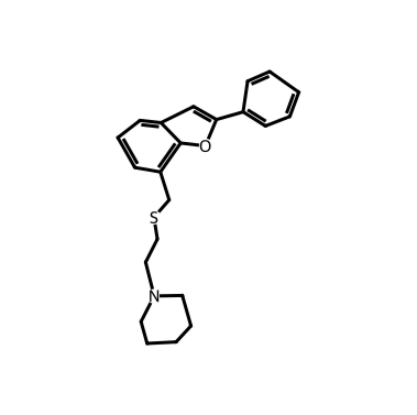 c1ccc(-c2cc3cccc(CSCCN4CCCCC4)c3o2)cc1